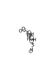 C[C@]12CC[C@H](SCCN3CCCC3)C[C@H]1CC[C@@H]1[C@@H]2CC[C@]2(C)[C@@H](C3=CC(=O)OC3)CC[C@@H]12